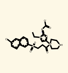 CCn1cc([N+]2(C(=O)CCS(=O)(=O)c3ccc4cc(Cl)ccc4c3)CCNCC2)s/c1=N\C(=O)[O-]